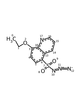 CCOc1ccc(S(=O)(=O)N=[N+]=[N-])c2cccnc12